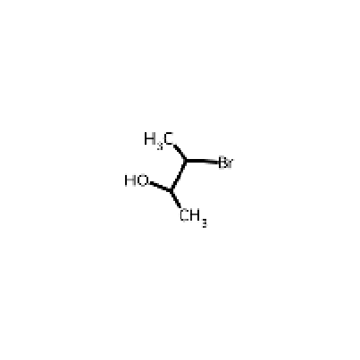 CC(O)C(C)Br